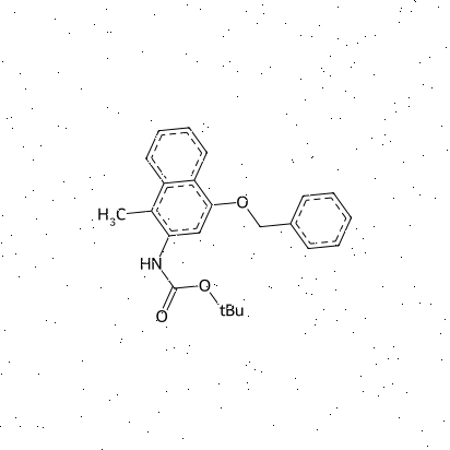 Cc1c(NC(=O)OC(C)(C)C)cc(OCc2ccccc2)c2ccccc12